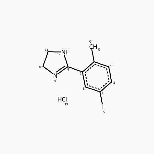 Cc1ccc(I)cc1C1=NCCN1.Cl